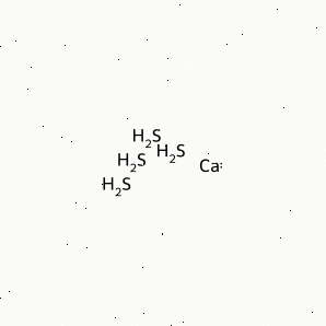 S.S.S.S.[Ca]